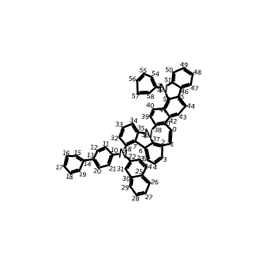 C1=Cc2cccc3c4c(N(c5ccc(-c6ccccc6)cc5)c5ccc6ccccc6c5)cccc4n(c23)-c2ccc3c(ccc4c5ccccc5n(-c5ccccc5)c34)c21